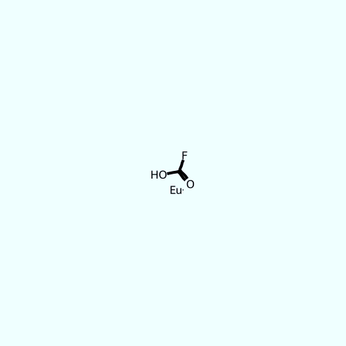 O=C(O)F.[Eu]